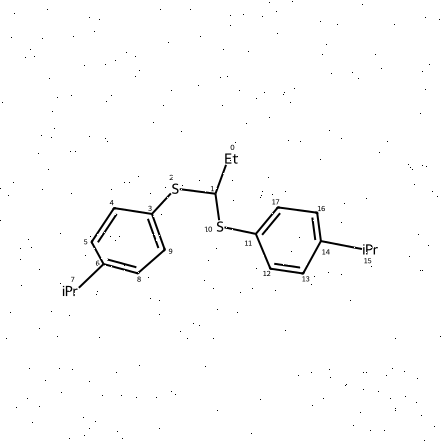 CCC(Sc1ccc(C(C)C)cc1)Sc1ccc(C(C)C)cc1